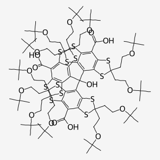 CC(C)(C)OCCC1(CCOC(C)(C)C)Sc2c(c(C(O)(c3c4c(c(C(=O)O)c5c3SC(CCOC(C)(C)C)(CCOC(C)(C)C)S5)SC(CCOC(C)(C)C)(CCOC(C)(C)C)S4)c3c4c(c(C(=O)O)c5c3SC(CCOC(C)(C)C)(CCOC(C)(C)C)S5)SC(CCOC(C)(C)C)(CCOC(C)(C)C)S4)c3c(c2C(=O)O)SC(CCOC(C)(C)C)(CCOC(C)(C)C)S3)S1